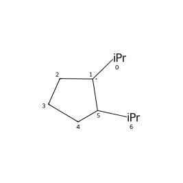 CC(C)[C]1CCCC1C(C)C